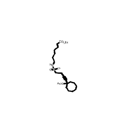 CCOC(=O)CCCCCCNS(=O)(=O)CCC#CC1(OC(C)=O)CCCCCCC1